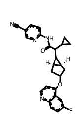 N#Cc1ccc(NC(=O)C(C2CC2)C2[C@H]3CC(Oc4ccnc5ccc(F)cc45)C[C@@H]23)nc1